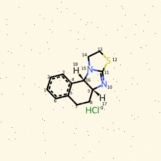 Cl.c1ccc2c(c1)CC[C@H]1N=C3SCCN3[C@@H]21